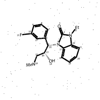 CCn1c(=O)n([C@@H](c2cccc(F)c2)[C@H](O)CNC)c2ccccc21